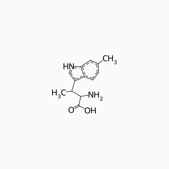 Cc1ccc2c(C(C)C(N)C(=O)O)c[nH]c2c1